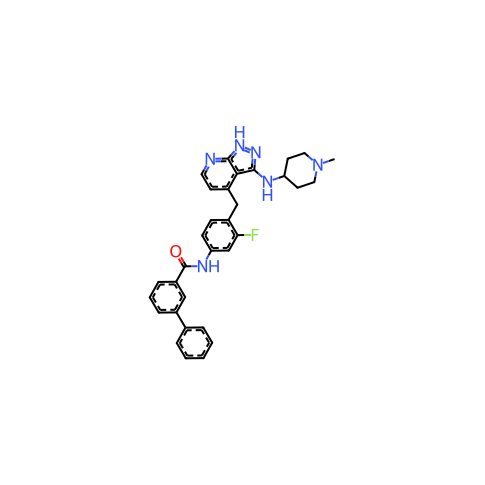 CN1CCC(Nc2n[nH]c3nccc(Cc4ccc(NC(=O)c5cccc(-c6ccccc6)c5)cc4F)c23)CC1